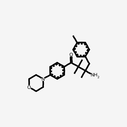 Cc1ccc(CC(C)(N)C(C)(C)C(=O)c2ccc(N3CCOCC3)cc2)cc1